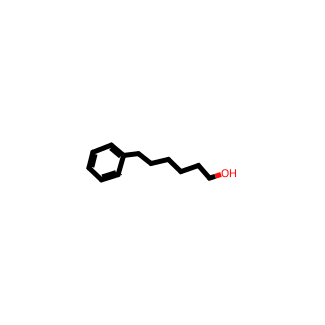 OCCCCCCc1[c]cccc1